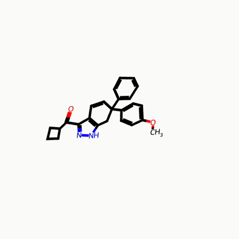 COc1ccc(C2(c3ccccc3)C=Cc3c(C(=O)C4CCC4)n[nH]c3C2)cc1